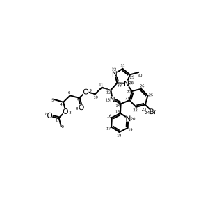 CC(=O)OC(C)CC(=O)OCC[C@@H]1N=C(c2ccccn2)c2cc(Br)ccc2-n2c(C)cnc21